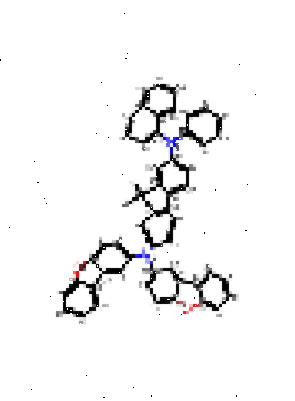 CC1(C)c2cc(N(c3ccc4oc5ccccc5c4c3)c3ccc4oc5ccccc5c4c3)ccc2-c2ccc(N(c3ccccc3)c3cccc4ccccc34)cc21